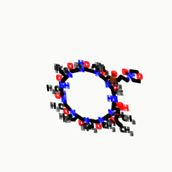 C/C=C/C[C@@H](C)[C@@H](O)[C@@H]1C(=O)N[C@H](CC)C(=O)N(C)[C@H](CS(=O)(=O)CCC[N+]2([O-])CCOCC2)C(=O)N(C)[C@@H](CC(C)C)C(=O)N[C@H](C(C)C)C(=O)N(C)[C@H](CC(C)C)C(=O)N[C@H](C)C(=O)N[C@@H](C)C(=O)N(C)[C@H](CC(C)C)C(=O)N(C)[C@H](CC(C)C)C(=O)N(C)[C@H](C(C)C)C(=O)N1C